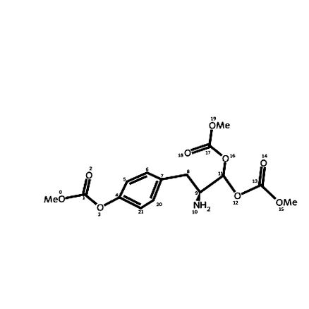 COC(=O)Oc1ccc(C[C@H](N)C(OC(=O)OC)OC(=O)OC)cc1